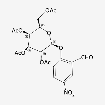 CC(=O)OC[C@H]1O[C@@H](Oc2ccc([N+](=O)[O-])cc2C=O)[C@H](OC(C)=O)[C@@H](OC(C)=O)[C@H]1OC(C)=O